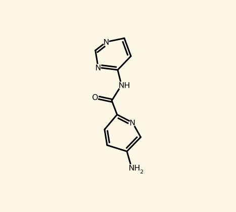 Nc1ccc(C(=O)Nc2ccncn2)nc1